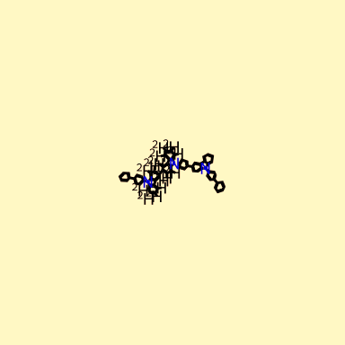 [2H]c1c([2H])c([2H])c2c(c1[2H])c1c([2H])c(-c3c([2H])c([2H])c4c(c3[2H])c3c([2H])c([2H])c([2H])c([2H])c3n4-c3ccc(-c4ccc5c(c4)c4ccccc4n5-c4ccc(-c5ccccc5)cc4)cc3)c([2H])c([2H])c1n2-c1ccc(-c2ccccc2)cc1